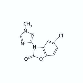 Cn1cnc(-n2c(=O)oc3ccc(Cl)cc32)n1